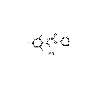 Cc1cc(C)c(C(=O)O[PH](=O)Oc2ccccc2)c(C)c1.[Mg]